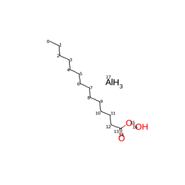 CCCCCCCCCCCCCC(=O)OO.[AlH3]